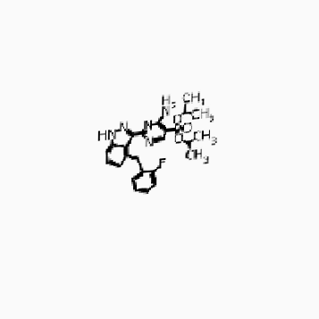 CC(C)OP(=O)(OC(C)C)c1cnc(-c2n[nH]c3cccc(Cc4ccccc4F)c23)nc1N